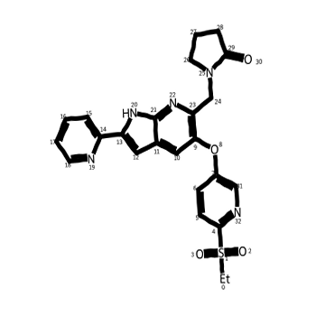 CCS(=O)(=O)c1ccc(Oc2cc3cc(-c4ccccn4)[nH]c3nc2CN2CCCC2=O)cn1